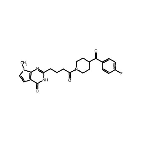 Cn1ccc2c(=O)[nH]c(CCCC(=O)N3CCC(C(=O)c4ccc(F)cc4)CC3)nc21